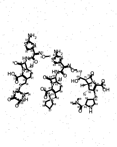 CO/N=C(\C(=O)N[C@@H]1C(=O)N2C(C(=O)O)=C(CSc3nc(=O)c(=O)[nH]n3C)CS[C@H]12)c1csc(N)n1.CO/N=C(\C(=O)N[C@@H]1C(=O)N2C(C(=O)[O-])=C(C[N+]3(C)CCCC3)CS[C@H]12)c1csc(N)n1.C[C@@H](O)[C@H]1C(=O)N2C(C(=O)O)=C(S[C@@H]3CN[C@H](C(=O)N(C)C)C3)[C@H](C)[C@H]12